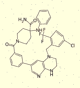 NC(=O)C1(Nc2ccccc2)CCN(C(=O)c2cccc(-c3cnc4c(c3)N(Cc3cc(Cl)ccc3C(F)(F)F)CCN4)c2)CC1